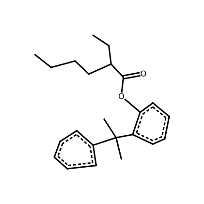 CCCCC(CC)C(=O)Oc1ccccc1C(C)(C)c1ccccc1